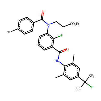 CCOC(=O)CCN(C(=O)c1ccc(C#N)cc1)c1cccc(C(=O)Nc2c(C)cc(C(F)(C(F)(F)F)C(F)(F)F)cc2C)c1F